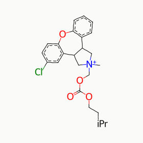 CC(C)CCOC(=O)OC[N+]1(C)CC2c3ccccc3Oc3ccc(Cl)cc3C2C1